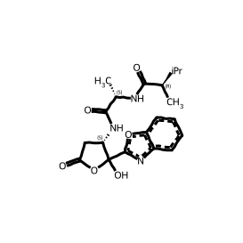 CC(C)[C@@H](C)C(=O)N[C@@H](C)C(=O)N[C@H]1CC(=O)OC1(O)c1nc2ccccc2o1